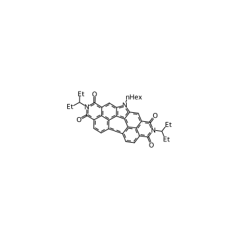 CCCCCCn1c2cc3c(=O)n(C(CC)CC)c(=O)c4ccc5c6ccc7c(=O)n(C(CC)CC)c(=O)c8cc1c(c6c78)c2c5c43